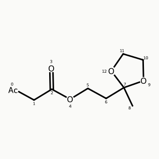 CC(=O)CC(=O)OCCC1(C)OCCO1